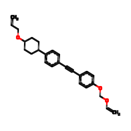 C=CCOC1CCC(c2ccc(C#Cc3ccc(OCOC=C)cc3)cc2)CC1